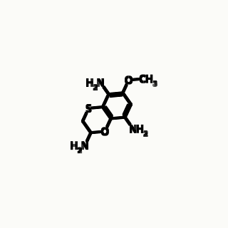 COc1cc(N)c2c(c1N)SCC(N)O2